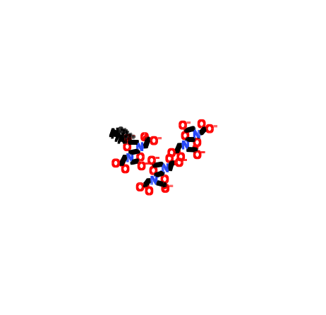 O=C([O-])CN(CCN(CC(=O)[O-])CC(=O)[O-])CC(=O)[O-].O=C([O-])CN(CCN(CC(=O)[O-])CC(=O)[O-])CC(=O)[O-].O=C([O-])CN(CCN(CC(=O)[O-])CC(=O)[O-])CC(=O)[O-].[Al+3].[Al+3].[Al+3].[Al+3]